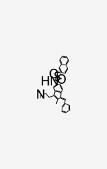 CC1=C(CCN(C)C)c2cc(NS(=O)(=O)c3ccc4ccccc4c3)ccc2C1=Cc1ccccc1